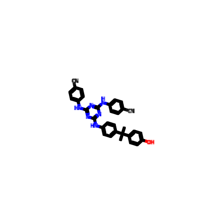 CC(C)(c1ccc(O)cc1)c1ccc(Nc2nc(Nc3ccc(C#N)cc3)nc(Nc3ccc(C#N)cc3)n2)cc1